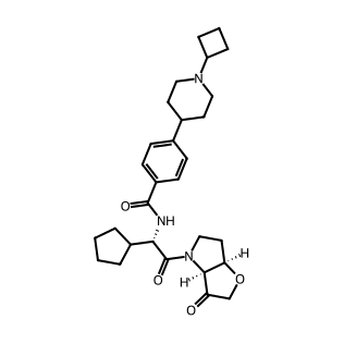 O=C(N[C@H](C(=O)N1CC[C@H]2OCC(=O)[C@H]21)C1CCCC1)c1ccc(C2CCN(C3CCC3)CC2)cc1